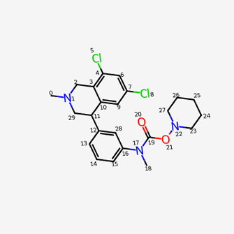 CN1Cc2c(Cl)cc(Cl)cc2C(c2cccc(N(C)C(=O)ON3CCCCC3)c2)C1